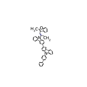 C=C/C(=C\c1c(C)oc2ccccc12)n1c2ccccc2c2cc(-c3ccc4c(c3)c3ccccc3n4-c3ccc(-c4ccccc4)cc3)ccc21